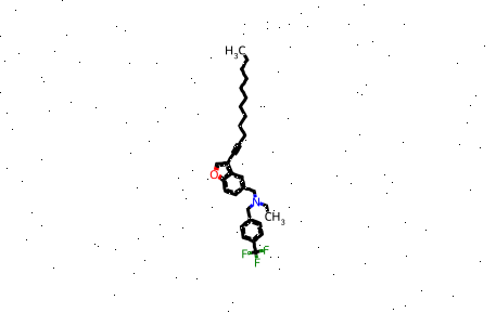 CCCCCCCCCCC#Cc1coc2ccc(CN(CC)Cc3ccc(C(F)(F)F)cc3)cc12